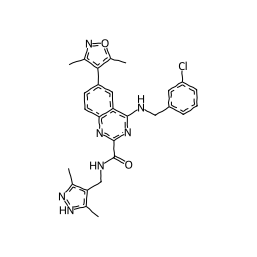 Cc1n[nH]c(C)c1CNC(=O)c1nc(NCc2cccc(Cl)c2)c2cc(-c3c(C)noc3C)ccc2n1